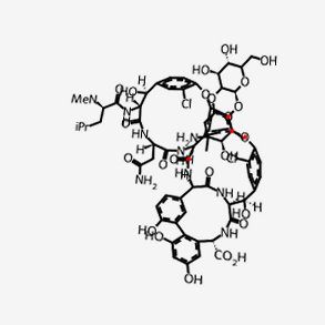 CN[C@H](CC(C)C)C(=O)N[C@H]1C(=O)N[C@@H](CC(N)=O)C(=O)N[C@H]2C(=O)N[C@H]3C(=O)N[C@H](C(=O)N[C@H](C(=O)O)c4cc(O)cc(O)c4-c4cc3ccc4O)[C@H](O)c3ccc(c(Cl)c3)Oc3cc2cc(c3O[C@@H]2OC(CO)[C@@H](O)[C@H](O)C2O[C@@H]2CC(C)(N)[C@H](O)[C@H](C)O2)Oc2ccc(cc2Cl)[C@@H]1O